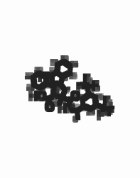 CC(NC(=O)C(C)(Cc1c[nH]c2ccccc12)N(Cc1ccccc1)C(=O)O)c1cc(C(F)(F)F)cc(C(F)(F)F)c1